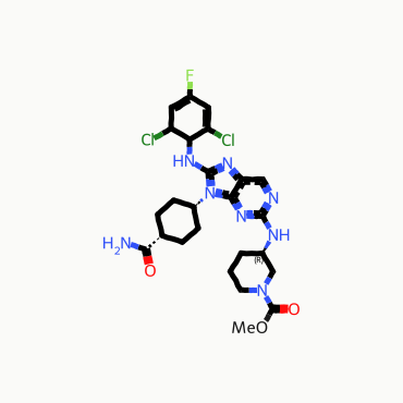 COC(=O)N1CCC[C@@H](Nc2ncc3nc(NC4C(Cl)=CC(F)=CC4Cl)n([C@H]4CC[C@@H](C(N)=O)CC4)c3n2)C1